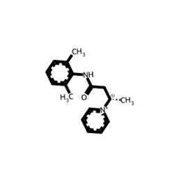 Cc1cccc(C)c1NC(=O)C[C@H](C)[n+]1ccccc1